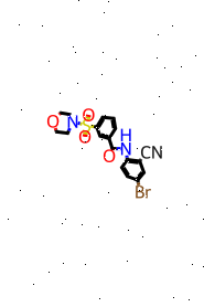 N#Cc1cc(Br)ccc1NC(=O)c1cccc(S(=O)(=O)N2CCOCC2)c1